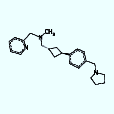 CN(Cc1ccccn1)C[C@H]1C[C@H](c2ccc(CN3CCCC3)cc2)C1